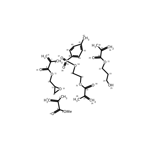 C=C(C)C(=O)OC.C=C(C)C(=O)OCC1CO1.C=C(C)C(=O)OCCCO.C=C(C)C(=O)OCCOS(=O)(=O)c1ccc(C)cc1